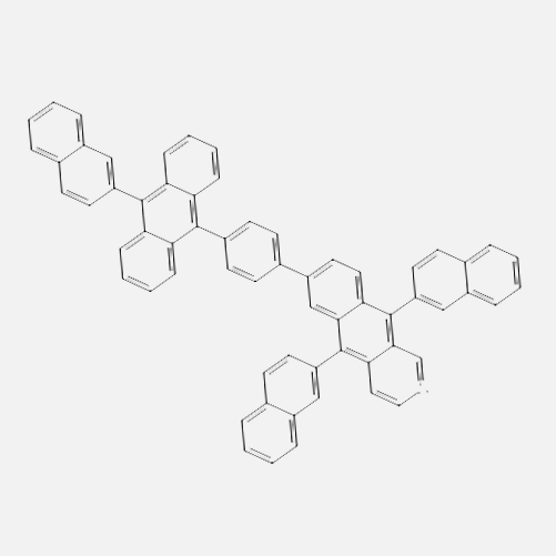 c1ccc2cc(-c3c4ccccc4c(-c4ccc(-c5ccc6c(-c7ccc8ccccc8c7)c7cnccc7c(-c7ccc8ccccc8c7)c6c5)cc4)c4ccccc34)ccc2c1